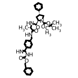 C[C@H](NC(=O)[C@H]1C[C@H](c2ccccc2)CN1C(=O)OC(C)(C)C)C(=O)NCc1ccc(C(=N)NC(=O)OCc2ccccc2)cc1